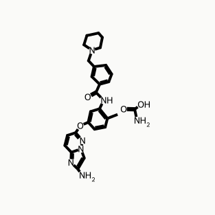 Cc1ccc(Oc2ccc3nc(N)cn3n2)cc1NC(=O)c1cccc(CN2CCCCC2)c1.NC(=O)O